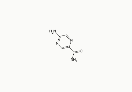 NC(=O)c1cnc(N)cn1